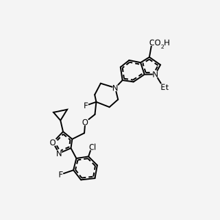 CCn1cc(C(=O)O)c2ccc(N3CCC(F)(COCc4c(-c5c(F)cccc5Cl)noc4C4CC4)CC3)cc21